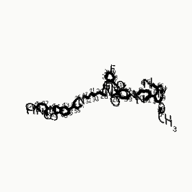 CCOc1cc(-c2ccc(N3CCC(NC(=O)c4cc(F)ccc4F)(C(=O)NCCCCCCN4CCC(c5ccc6c(c5)CN(C5CCC(=O)NC5=O)C6=O)CC4)CC3)nc2)c2c(C#N)cnn2c1